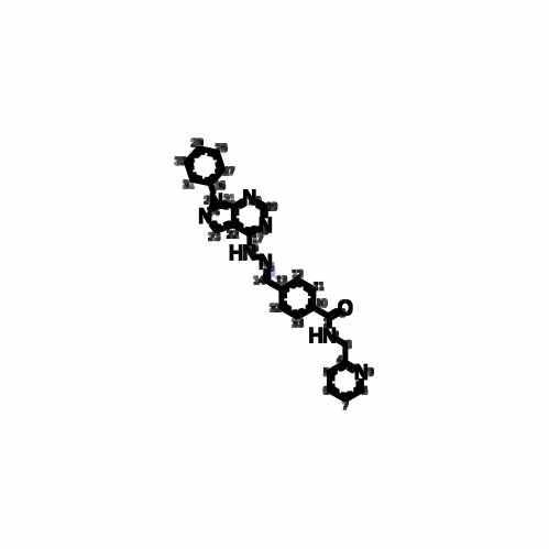 O=C(NCc1ccccn1)c1ccc(/C=N/Nc2ncnc3c2cnn3-c2ccccc2)cc1